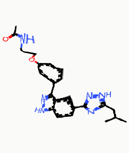 CC(=O)NCCOc1cccc(-c2n[nH]c3ccc(-c4n[nH]c(CC(C)C)n4)cc23)c1